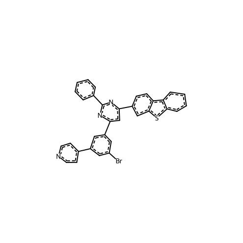 Brc1cc(-c2ccncc2)cc(-c2cc(-c3ccc4c(c3)sc3ccccc34)nc(-c3ccccc3)n2)c1